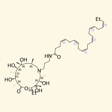 CC/C=C\C/C=C\C/C=C\C/C=C\C/C=C\C/C=C\CCC(=O)NCCCN1C[C@H](C)C[C@@](C)(O)[C@H](O)[C@@H](C)[C@H](O)[C@@H](C)C(=O)O[C@H](CC)[C@@](C)(O)[C@H](O)[C@H]1C